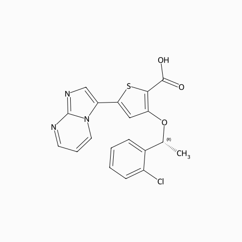 C[C@@H](Oc1cc(-c2cnc3ncccn23)sc1C(=O)O)c1ccccc1Cl